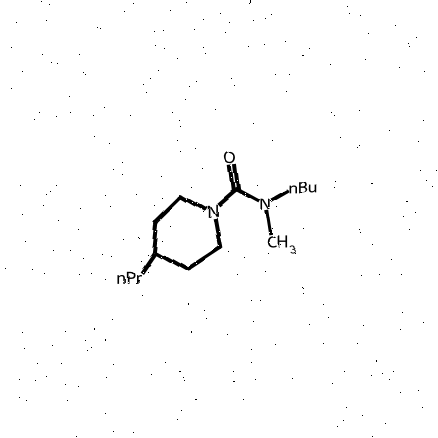 CCCCN(C)C(=O)N1CCC(CCC)CC1